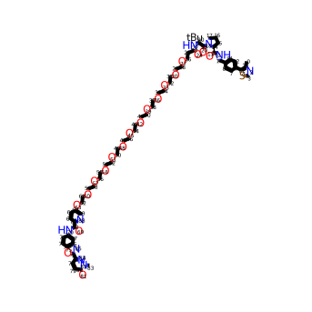 Cc1ncsc1-c1ccc(CNC(=O)[C@@H]2CCCN2C(=O)C(NC(=O)CCOCCOCCOCCOCCOCCOCCOCCOCCOCCOCCOCCOCCOc2ccc(C(=O)Nc3ccc4oc(-c5ccc(=O)n(C)n5)nc4c3)nc2)C(C)(C)C)cc1